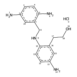 Cl.Nc1ccc(N)c(CNc2ccc(N)cc2CCO)c1